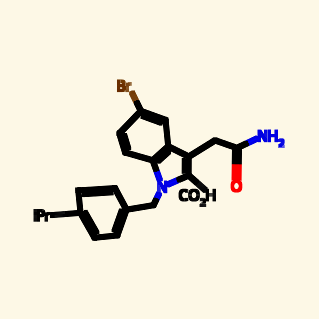 CC(C)c1ccc(Cn2c(C(=O)O)c(CC(N)=O)c3cc(Br)ccc32)cc1